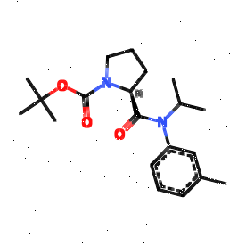 Cc1cccc(N(C(=O)[C@@H]2CCCN2C(=O)OC(C)(C)C)C(C)C)c1